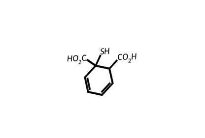 O=C(O)C1C=CC=CC1(S)C(=O)O